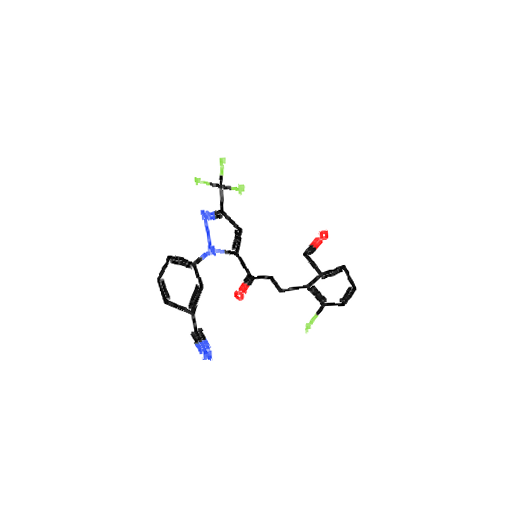 N#Cc1cccc(-n2nc(C(F)(F)F)cc2C(=O)CCc2c(F)cccc2C=O)c1